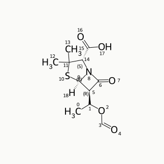 CC(OC=O)[C@@H]1C(=O)N2[C@@H]1SC(C)(C)[C@@H]2C(=O)O